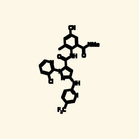 CNC(=O)c1cc(C#N)cc(C)c1NC(=O)c1cc(Nc2ccc(C(F)(F)F)cn2)nn1-c1ncccc1Cl